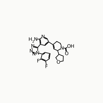 Nc1ncc(C2=CC(C3CCOC3)N(C(=O)O)CC2)cc1-c1nnnn1-c1cccc(F)c1F